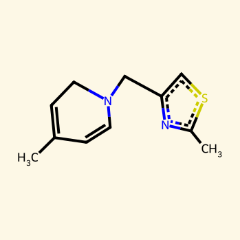 CC1=CCN(Cc2csc(C)n2)C=C1